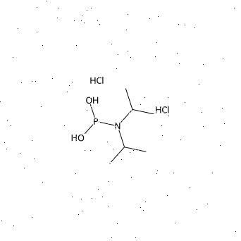 CC(C)N(C(C)C)P(O)O.Cl.Cl